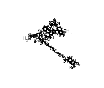 CC[C@]1(O)C(=O)OCc2c1cc1n(c2=O)Cc2c-1nc1cc(F)c(C)c3c1c2[C@H](NC(=O)C1(NC(=O)OCc2ccc(NC(=O)[C@H](CCCNC(N)=O)NC(=O)[C@@H](NC(=O)CCOCCOCCOCCOCCNC(=O)c4ccc5nc(CBr)c(CBr)nc5c4)C(C)C)cc2)COC1)CC3